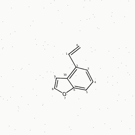 C=Cc1cccc2oc[c]c12